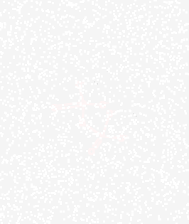 N#[C][Cu][C]#N.O=P([O-])([O-])OP(=O)([O-])[O-].[Cu+4]